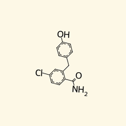 NC(=O)c1ccc(Cl)cc1Cc1ccc(O)cc1